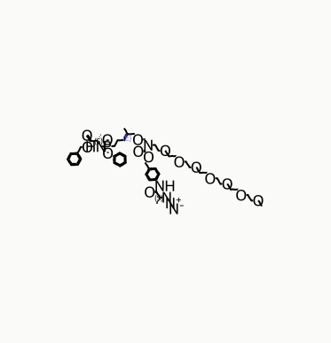 COCCOCCOCCOCCOCCOCCOCCN(COC/C(C)=C/CCP(=O)(N[C@@H](C)C(=O)OCc1ccccc1)Oc1ccccc1)C(=O)OCc1ccc(NC(=O)[C@H](C)N=[N+]=[N-])cc1